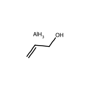 C=CCO.[AlH3]